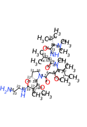 CC[C@H](C)[C@@H]([C@H](CC(=O)N1CCC[C@H]1[C@H](OC)[C@@H](C)C(=O)NCCN)OC)N(C)C(=O)[C@@H](NC(=O)[C@H](C(C)C)N(C)C)C(C)C